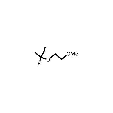 COCCOC(C)(F)F